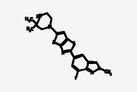 Cn1cc2cc(-c3nc4sc(N5CCNC(C)(C)C5)cc4s3)cc(F)c2n1